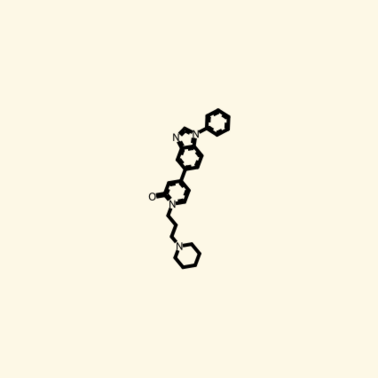 O=c1cc(-c2ccc3c(c2)ncn3-c2ccccc2)ccn1CCCN1CCCCC1